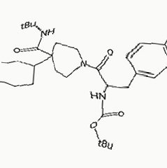 CC(C)(C)NC(=O)C1(C2CCCCC2)CCN(C(=O)C(Cc2ccc(F)cc2)NC(=O)OC(C)(C)C)CC1